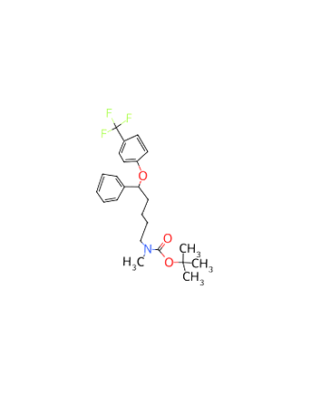 CN(CCCCC(Oc1ccc(C(F)(F)F)cc1)c1ccccc1)C(=O)OC(C)(C)C